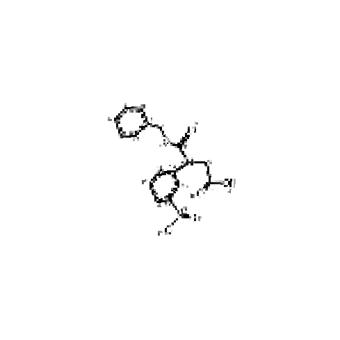 O=C(O)CN(C(=O)OCc1ccccc1)c1cccc([N+](=O)[O-])c1